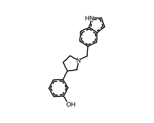 Oc1cccc(C2CCN(Cc3ccc4[nH]ccc4c3)C2)c1